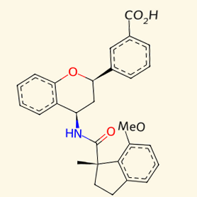 COc1cccc2c1[C@@](C)(C(=O)N[C@@H]1C[C@H](c3cccc(C(=O)O)c3)Oc3ccccc31)CC2